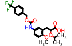 COc1ccc(NC(=O)OCc2ccc(C(F)(F)F)cc2)cc1CC(OC(C)C)C(=O)O